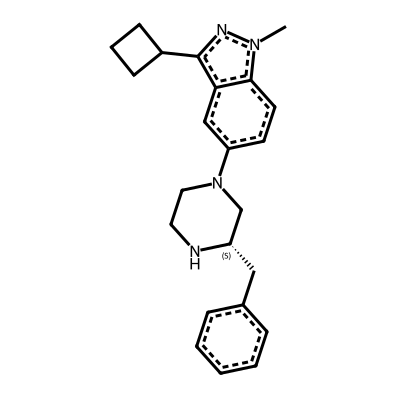 Cn1nc(C2CCC2)c2cc(N3CCN[C@@H](Cc4ccccc4)C3)ccc21